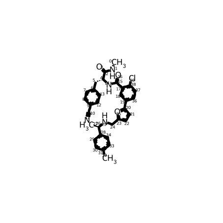 CNC(=O)[C@@H](Cc1ccc(C#N)cc1)NC(=O)c1cc(-c2ccc(CN[C@H](C)c3ccc(C)cc3)o2)ccc1Cl